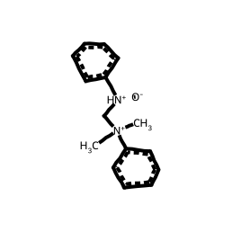 C[N+](C)(C[NH+]([O-])c1ccccc1)c1ccccc1